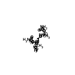 C[C@H](COCC1CC1c1ccc(CN(C)C(=O)c2ccc3nc(N)c4c(c3c2)COC4)nc1)N(Cc1ccc(C(F)(F)F)cn1)C(=O)c1cnc2nc(N)c3c(c2c1)COC3